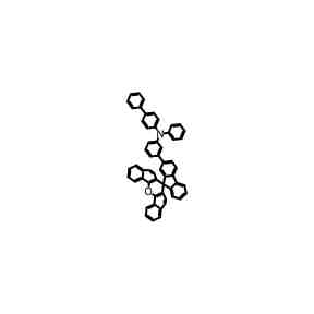 c1ccc(-c2ccc(N(c3ccccc3)c3cccc(-c4ccc5c(c4)C4(c6ccccc6-5)c5ccc6ccccc6c5Oc5c4ccc4ccccc54)c3)cc2)cc1